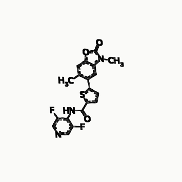 Cc1cc2oc(=O)n(C)c2cc1-c1ccc(C(=O)Nc2c(F)cncc2F)s1